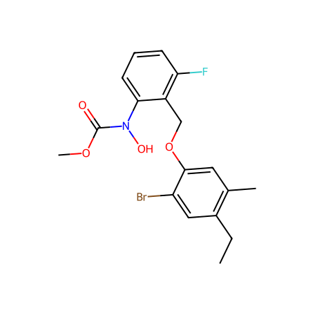 CCc1cc(Br)c(OCc2c(F)cccc2N(O)C(=O)OC)cc1C